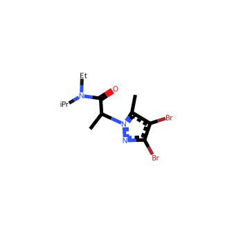 CCN(C(=O)C(C)n1nc(Br)c(Br)c1C)C(C)C